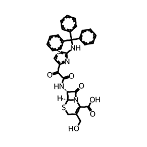 O=C(O)C1=C(CO)CS[C@H]2[C@H](NC(=O)C(=O)c3csc(NC(c4ccccc4)(c4ccccc4)c4ccccc4)n3)C(=O)N12